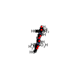 Cc1cc(N)c2c(O)c(/N=N/c3ccc(/N=[N+](\[O-])c4ccc(/N=N/c5c(S(=O)(=O)O)cc6cc(SOOO)cc(N)c6c5O)c(O)c4)cc3O)c(SOOO)cc2c1